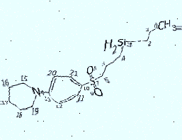 CCC[SiH2]CCCS(=O)(=O)c1ccc(N2CCCCC2)cc1